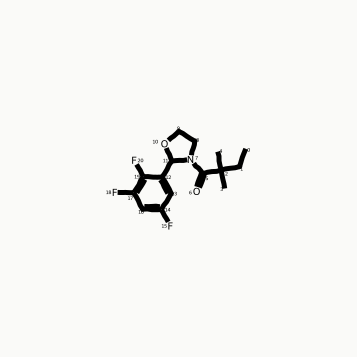 CCC(C)(C)C(=O)N1CCOC1c1cc(F)cc(F)c1F